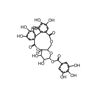 O=C(O[C@@H]1OC2COC(=O)c3cc(O)c(O)c(O)c3-c3c(cc(O)c(O)c3O)C(=O)O[C@H]2C(O)[C@@H]1O)c1cc(O)c(O)c(O)c1